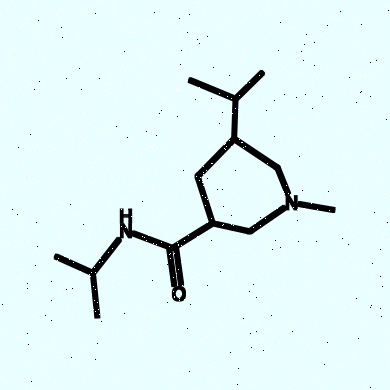 CC(C)NC(=O)C1CC(C(C)C)CN(C)C1